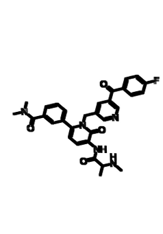 CNC(C)C(=O)Nc1ccc(-c2cccc(C(=O)N(C)C)c2)n(Cc2cncc(C(=O)c3ccc(F)cc3)c2)c1=O